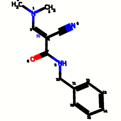 CN(C)/C=C(\C#N)C(=O)NCc1ccccc1